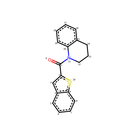 O=C(c1cc2ccccc2s1)N1CCCc2ccccc21